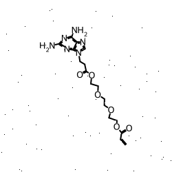 C=CC(=O)OCCOCCOCCOC(=O)CCn1cnc2c(N)nc(N)nc21